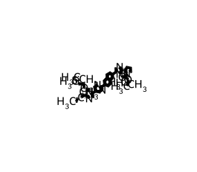 CCCC[C@H](C)c1ncc(-c2cnc(-c3ccc4cc(-c5cnc([C@@H]6CCCN6C(=O)OC(C)(C)C)[nH]5)ccc4c3)nc2)n1COCC[Si](C)(C)C